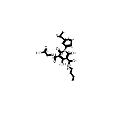 CCCCNC(=O)c1c(O)c(C(=O)NCC(=O)O)c(=O)n(-c2cccc(C(C)C)c2)c1O